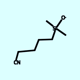 C[Si](C)([O])CCCCC#N